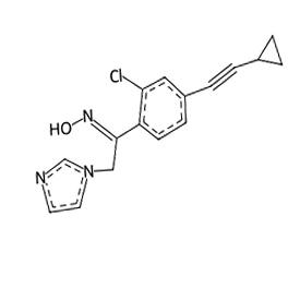 O/N=C(\Cn1ccnc1)c1ccc(C#CC2CC2)cc1Cl